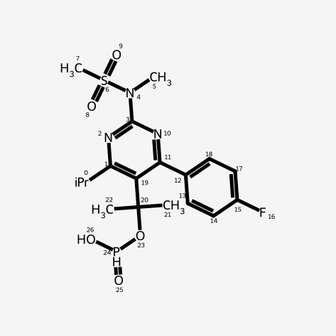 CC(C)c1nc(N(C)S(C)(=O)=O)nc(-c2ccc(F)cc2)c1C(C)(C)O[PH](=O)O